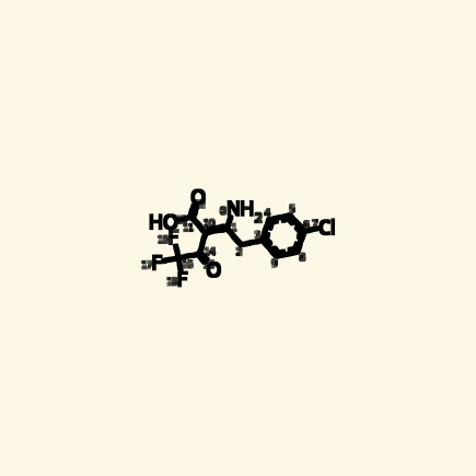 N/C(Cc1ccc(Cl)cc1)=C(\C(=O)O)C(=O)C(F)(F)F